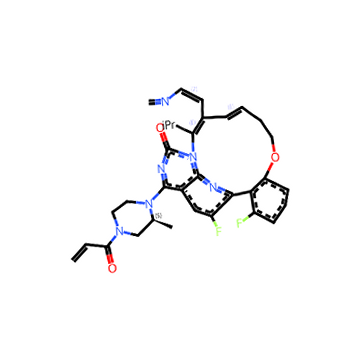 C=CC(=O)N1CCN(c2nc(=O)n3c4nc(c(F)cc24)-c2c(F)cccc2OCC/C=C/C(/C=C\N=C)=C\3C(C)C)[C@@H](C)C1